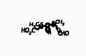 Cc1sc(-c2ccc(-c3cc(CCC(=O)O)c(C)s3)c3ccncc23)cc1CCOC=O